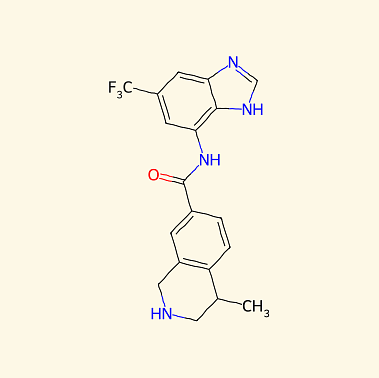 CC1CNCc2cc(C(=O)Nc3cc(C(F)(F)F)cc4nc[nH]c34)ccc21